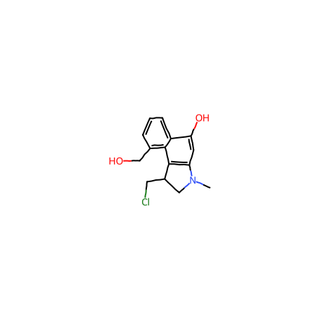 CN1CC(CCl)c2c1cc(O)c1cccc(CO)c21